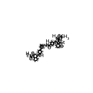 CCC(=O)N1c2ccccc2[C@H](Nc2ccc(-c3cnn(CCNC(=O)c4ccc(Cn5c6c(c(CC)c5C(=O)ON(C)C)C(=O)CCC6)cc4)c3)cc2)C[C@@H]1C